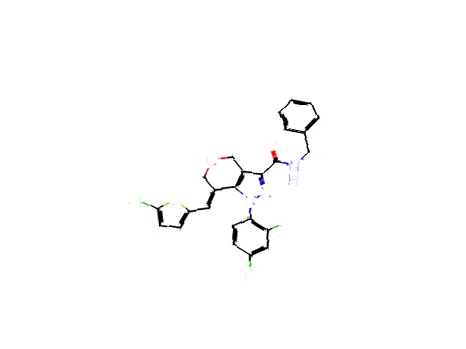 C[C@H](NC(=O)c1nn(-c2ccc(Cl)cc2Cl)c2c1COC/C2=C\c1ccc(Cl)s1)c1ccccc1